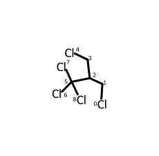 ClCC(CCl)C(Cl)(Cl)Cl